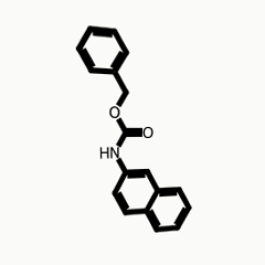 O=C(Nc1ccc2ccccc2c1)OCc1ccccc1